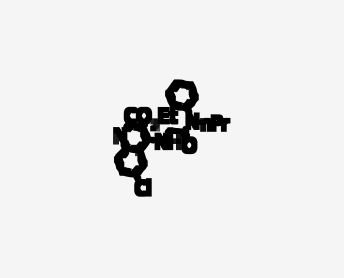 CCCN(C(=O)CNc1c(C(=O)OCC)cnc2ccc(Cl)cc12)c1ccccc1